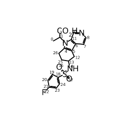 CC(C(=O)O)n1c2c(c3ccncc31)CC(NS(=O)(=O)c1ccc(F)cc1)CC2